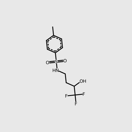 Cc1ccc(S(=O)(=O)NCCC(O)C(F)(F)F)cc1